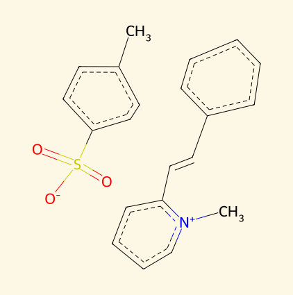 C[n+]1ccccc1C=Cc1ccccc1.Cc1ccc(S(=O)(=O)[O-])cc1